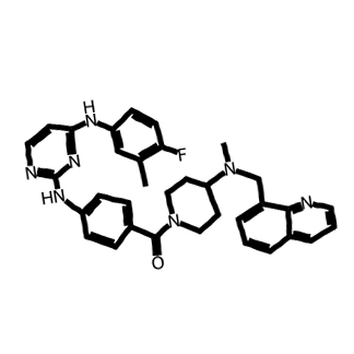 Cc1cc(Nc2ccnc(Nc3ccc(C(=O)N4CCC(N(C)Cc5cccc6cccnc56)CC4)cc3)n2)ccc1F